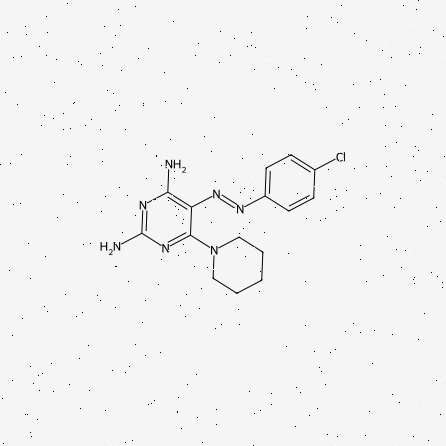 Nc1nc(N)c(N=Nc2ccc(Cl)cc2)c(N2CCCCC2)n1